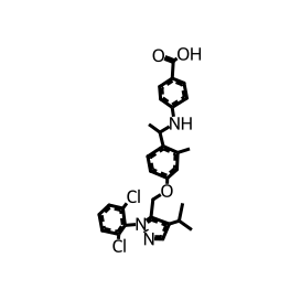 Cc1cc(OCc2c(C(C)C)cnn2-c2c(Cl)cccc2Cl)ccc1C(C)Nc1ccc(C(=O)O)cc1